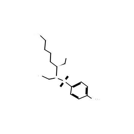 COc1ccc(S(=O)(=O)N(CC(C)C)[C@H](CO)CCCCN)cc1